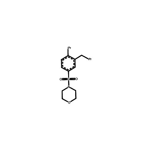 CC(C)Cc1cc(S(=O)(=O)N2CCOCC2)ccc1C(C)C